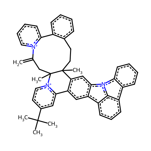 C=C1CC2(C)[n+]3ccc(C(C)(C)C)cc3-c3cc4c5cccc6c7ccccc7n(c4cc3C2(C)CCc2ccccc2-c2cccc[n+]21)c65